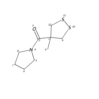 CC1(C(=O)N2CCCC2)CSSC1